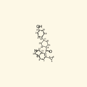 O=C(c1c(C2CC2)ccn2cncc12)C1CCC(c2ccc(O)cc2)CC1